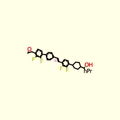 CCCC(O)C1CCC(c2ccc(/C=C/c3ccc(-c4ccc(C5CO5)c(F)c4F)cc3)c(F)c2F)CC1